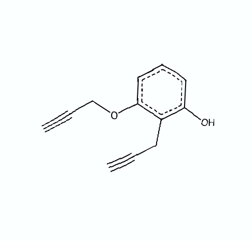 C#CCOc1cccc(O)c1CC#C